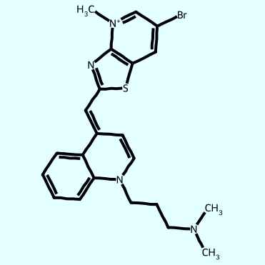 CN(C)CCCN1C=C/C(=C\c2nc3c(cc(Br)c[n+]3C)s2)c2ccccc21